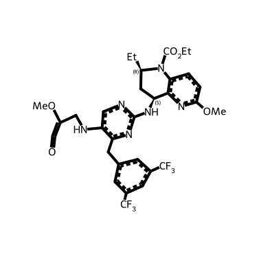 CCOC(=O)N1c2ccc(OC)nc2[C@@H](Nc2ncc(NCC(=C=O)OC)c(Cc3cc(C(F)(F)F)cc(C(F)(F)F)c3)n2)C[C@H]1CC